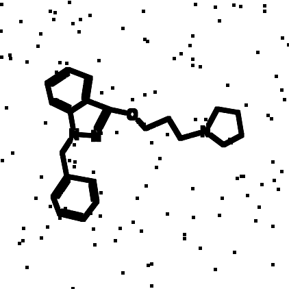 c1ccc(Cn2nc(OCCCN3CCCC3)c3ccccc32)cc1